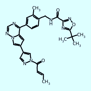 CC=CC(=O)n1cc(-c2cc3c(-c4ccc(CNC(=O)c5noc(C(C)(C)C)n5)c(C)c4)ncnn3c2)cn1